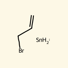 C=CCBr.[SnH2]